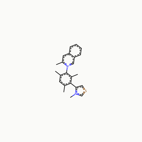 Cc1cc(C)c(-[n+]2cc3ccccc3cc2C)c(C)c1-c1csc[n+]1C